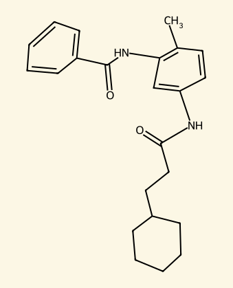 Cc1ccc(NC(=O)CCC2CCCCC2)cc1NC(=O)c1ccccc1